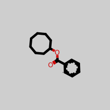 O=C(OC1CCCCCCC1)c1[c]cccc1